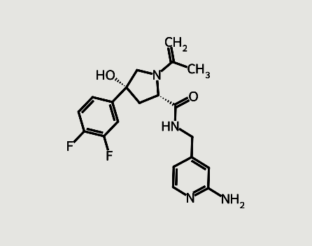 C=C(C)N1C[C@](O)(c2ccc(F)c(F)c2)C[C@H]1C(=O)NCc1ccnc(N)c1